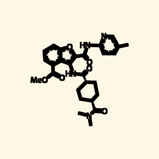 COC(=O)c1cccc2oc(C(=O)Nc3ccc(C)cn3)c(NC(=O)[C@H]3CC[C@H](C(=O)N(C)C)CC3)c12